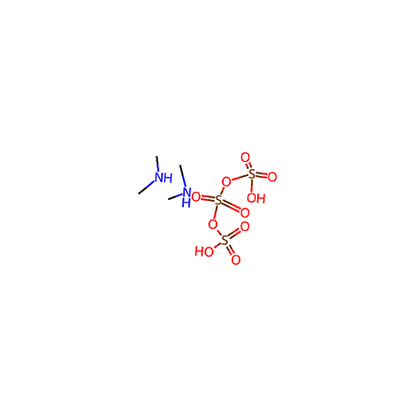 CNC.CNC.O=S(=O)(O)OS(=O)(=O)OS(=O)(=O)O